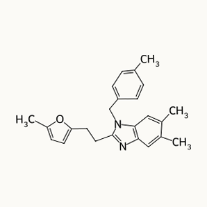 Cc1ccc(Cn2c(CCc3ccc(C)o3)nc3cc(C)c(C)cc32)cc1